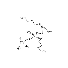 CCCCCO[C@@H](CO)C(CCCCC)OP(=O)(O)OC[C@H](N)C(=O)O